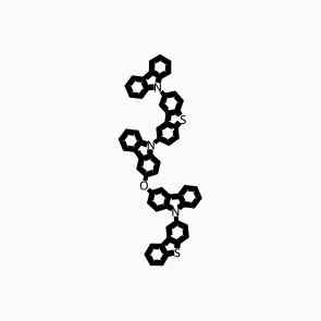 c1ccc2c(c1)sc1ccc(-n3c4ccccc4c4cc(Oc5ccc6c(c5)c5ccccc5n6-c5ccc6sc7ccc(-n8c9ccccc9c9ccccc98)cc7c6c5)ccc43)cc12